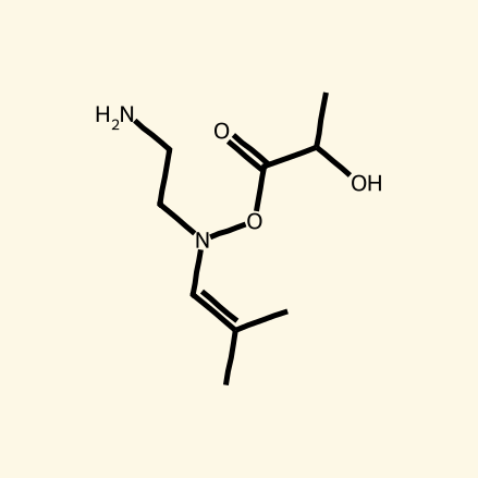 CC(C)=CN(CCN)OC(=O)C(C)O